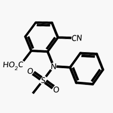 CS(=O)(=O)N(c1ccccc1)c1c(C#N)cccc1C(=O)O